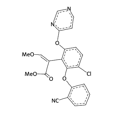 COC=C(C(=O)OC)c1c(Oc2ccncn2)ccc(Cl)c1Oc1ccccc1C#N